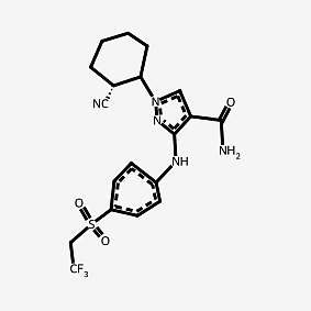 N#C[C@@H]1CCCCC1n1cc(C(N)=O)c(Nc2ccc(S(=O)(=O)CC(F)(F)F)cc2)n1